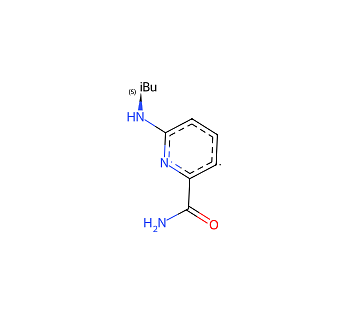 CC[C@H](C)Nc1cc[c]c(C(N)=O)n1